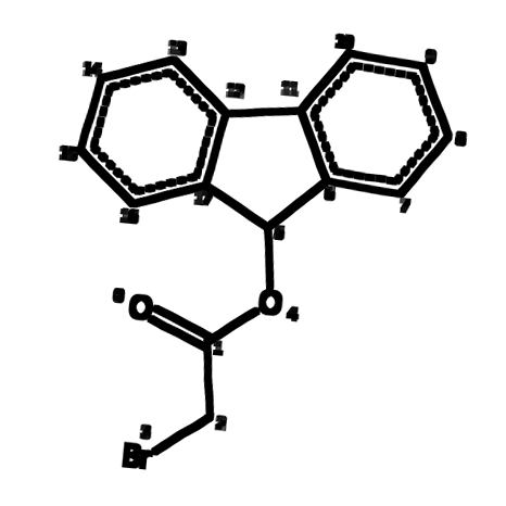 O=C(CBr)OC1c2ccccc2-c2ccccc21